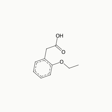 CCOc1ccccc1CC(=O)O